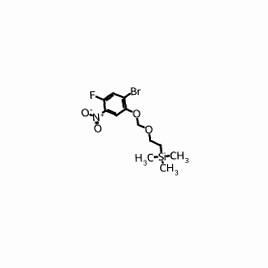 C[Si](C)(C)CCOCOc1cc([N+](=O)[O-])c(F)cc1Br